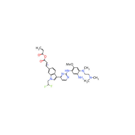 C=CC(=O)OC(=O)/C=C/c1ccc2c(-c3ccnc(Nc4cc(N)c(N(C)CCN(C)C)cc4OC)n3)cn(CC(F)F)c2c1